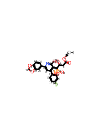 C#COC(=O)CC(O)C(c1c(-c2ccc(F)cc2)cc(-c2ccc3c(c2)OCO3)nc1C(C)C)[PH](=O)O